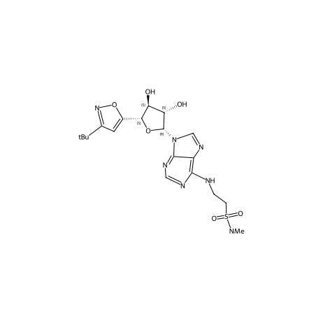 CNS(=O)(=O)CCNc1ncnc2c1ncn2[C@@H]1O[C@H](c2cc(C(C)(C)C)no2)[C@@H](O)[C@@H]1O